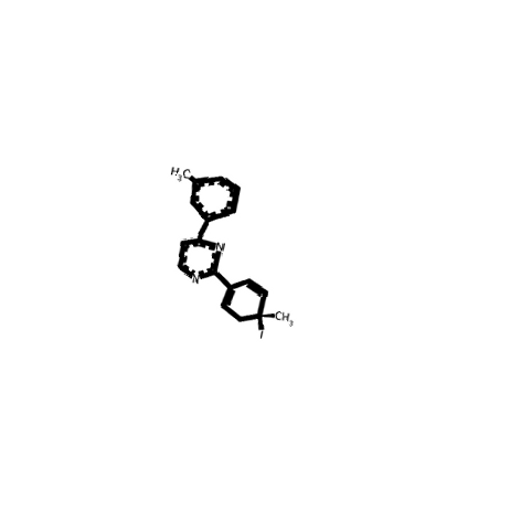 Cc1cccc(-c2ccnc(C3=CC[C@@](C)(I)C=C3)n2)c1